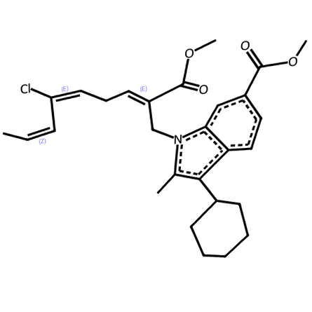 C/C=C\C(Cl)=C/C/C=C(\Cn1c(C)c(C2CCCCC2)c2ccc(C(=O)OC)cc21)C(=O)OC